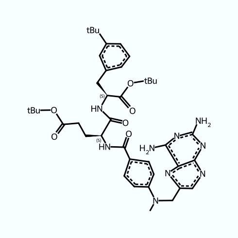 CN(Cc1cnc2nc(N)nc(N)c2n1)c1ccc(C(=O)N[C@@H](CCC(=O)OC(C)(C)C)C(=O)N[C@@H](Cc2cccc(C(C)(C)C)c2)C(=O)OC(C)(C)C)cc1